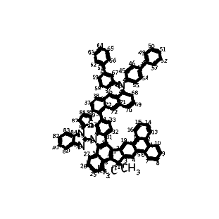 CC1(C)c2cc3c4ccccc4c4ccccc4c3cc2-c2c1c1ccccc1c1c2c2ccc(-c3cccc4cc5c(N(c6ccc(-c7ccccc7)cc6)c6cccc(-c7ccccc7)c6)cccc5cc34)cc2n1-c1nc2ccccc2n1-c1cccs1